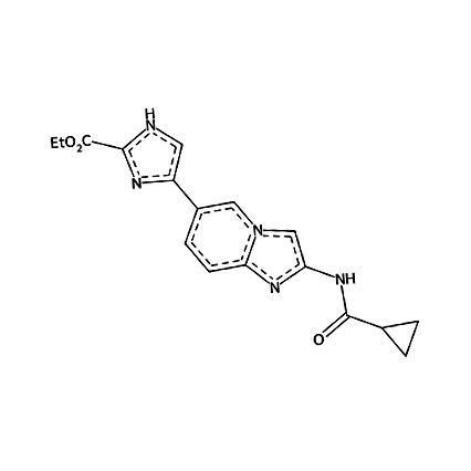 CCOC(=O)c1nc(-c2ccc3nc(NC(=O)C4CC4)cn3c2)c[nH]1